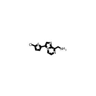 NCc1nccn2c(-c3ccc(Cl)s3)cnc12